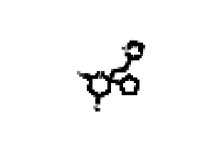 O=C1CC(=O)OC(CCc2nccs2)(C2CCCC2)C1